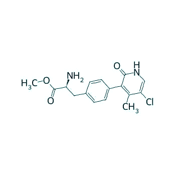 COC(=O)[C@@H](N)Cc1ccc(-c2c(C)c(Cl)c[nH]c2=O)cc1